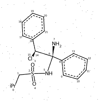 CC(C)CS(=O)(=O)N[C@@](N)(c1ccccc1)[C@@H](Cl)c1ccccc1